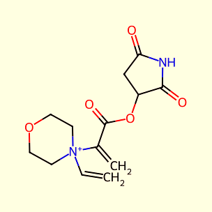 C=C[N+]1(C(=C)C(=O)OC2CC(=O)NC2=O)CCOCC1